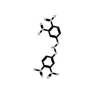 O=[N+]([O-])c1ccc(OBOc2ccc([N+](=O)[O-])c([N+](=O)[O-])c2)cc1[N+](=O)[O-]